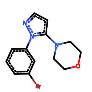 Brc1cccc(-n2nccc2N2CCOCC2)c1